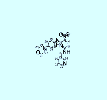 O=[N+]([O-])c1ccc(NCc2cccnc2)nc1Nc1ccc(N2CCOCC2)cc1